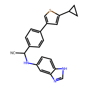 N#CC(Nc1ccc2[nH]cnc2c1)c1ccc(-c2csc(C3CC3)c2)cc1